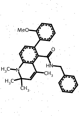 COc1ccccc1-c1ccc2c(c1C(=O)NCc1ccccc1)C(C)=CC(C)(C)N2C